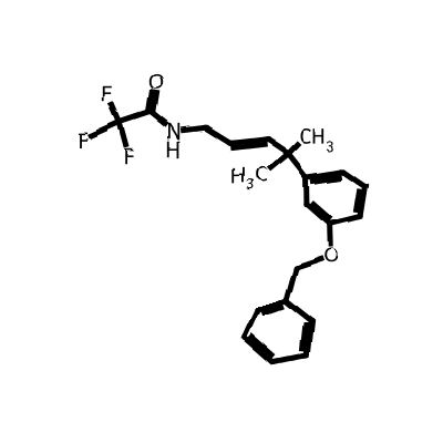 CC(C)(/C=C/CNC(=O)C(F)(F)F)c1cccc(OCc2ccccc2)c1